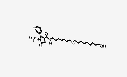 CN1C(=O)C[C@H](C(=O)NCCCCCCCOCCCCCCCCCO)[C@H]1c1cccnc1